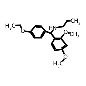 CCCNC(c1ccc(OCC)cc1)c1ccc(OC)cc1OC